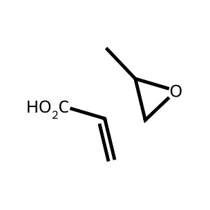 C=CC(=O)O.CC1CO1